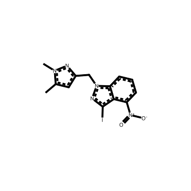 Cc1cc(Cn2nc(I)c3c([N+](=O)[O-])cccc32)nn1C